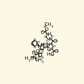 CCOC(=O)N1CCN(C(=O)C(CCC(=O)O)NC(=O)c2cc(OC3(C(=O)N(C)C)CCC3)n(-c3ccccc3)n2)CC1